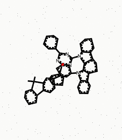 CC1(C)c2ccccc2-c2ccc(-c3cccc(-n4c5ccccc5c5ccc6c7ccccc7n(-c7nc(-c8ccccc8)nc(-c8ccccc8)n7)c6c54)c3)cc21